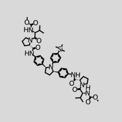 COC(=O)N[C@H](C(=O)N1CCC[C@H]1C(=O)Nc1ccc([C@H]2CC[C@@H](c3ccc(NC(=O)[C@@H]4CCCN4C(=O)[C@@H](NC(=O)OC)C(C)C)cc3)N2c2ccc([Si](C)(C)C)cc2)cc1)C(C)C